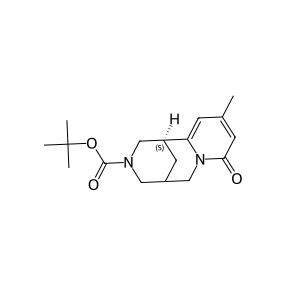 Cc1cc2n(c(=O)c1)CC1C[C@H]2CN(C(=O)OC(C)(C)C)C1